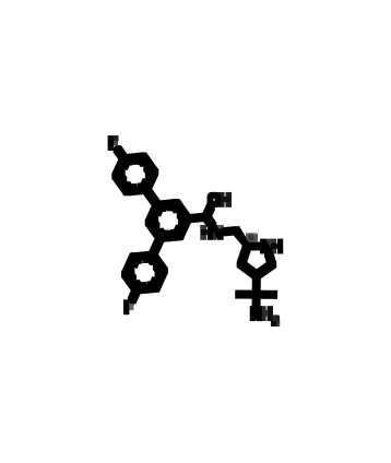 CC(C)(N)C1CN[C@H](CNC(O)c2cc(-c3ccc(F)cc3)cc(-c3ccc(F)cc3)c2)C1